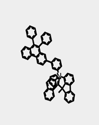 CC1(c2ccccc2)c2ccccc2-c2cccc(N(c3cccc(-c4ccc5c(c4)c(-c4ccccc4)c(-c4ccccc4)c4ccccc45)c3)c3ccc4ccccc4c3)c21